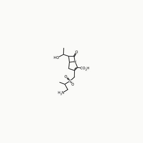 CC(O)C1C(=O)N2C(C(=O)O)=C(CS(=O)(=O)C(C)CN)CC12